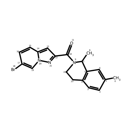 Cc1ccc2c(c1)C(C)N(C(=O)c1cc3ccc(Br)cn3n1)CC2